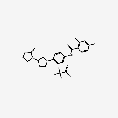 Cc1ccc(C(=O)Nc2ccc(N3CCC(N4CCCC4C)C3)cc2)c(C)c1.O=C(O)C(F)(F)F